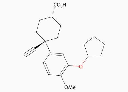 C#C[C@]1(c2ccc(OC)c(OC3CCCC3)c2)CC[C@@H](C(=O)O)CC1